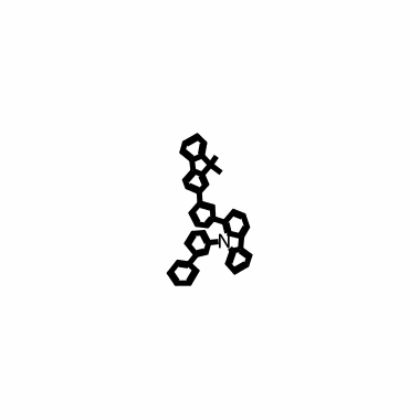 CC1(C)c2ccccc2-c2ccc(-c3cccc(-c4cccc5c6ccccc6n(-c6cccc(-c7ccccc7)c6)c45)c3)cc21